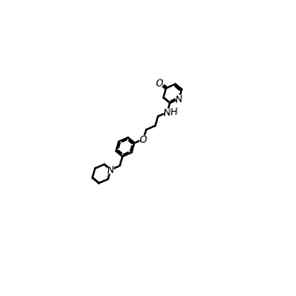 O=C1C=CN=C(NCCCOc2cccc(CN3CCCCC3)c2)C1